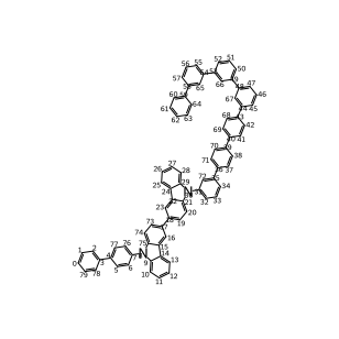 c1ccc(-c2ccc(-n3c4ccccc4c4cc(-c5ccc6c(c5)c5ccccc5n6-c5cccc(-c6ccc(-c7ccc(-c8cccc(-c9cccc(-c%10cccc(-c%11ccccc%11)c%10)c9)c8)cc7)cc6)c5)ccc43)cc2)cc1